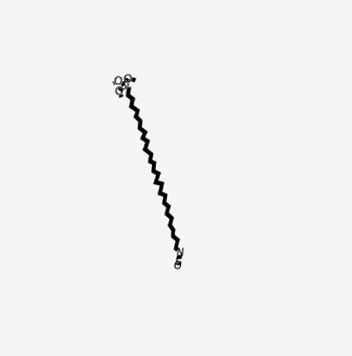 CO[Si](CCCCCCCCCCCCCCCCCCCCCCCCCCCCCCN=C=O)(OC)OC